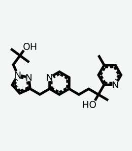 Cc1ccnc(C(C)(O)CCc2ccnc(Cc3ccn(CC(C)(C)O)n3)c2)c1